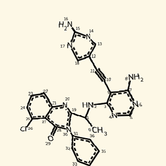 CC(Nc1ncnc(N)c1C#Cc1cnc(N)nc1)c1nc2cccc(Cl)c2c(=O)n1-c1ccccc1